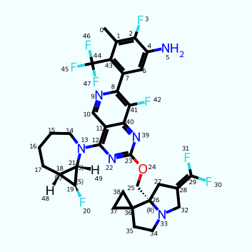 Cc1c(F)c(N)cc(-c2ncc3c(N4CCCC[C@H]5[C@H](F)[C@H]54)nc(OC[C@]45CC(=C(F)F)CN4CCC54CC4)nc3c2F)c1C(F)(F)F